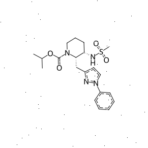 CC(C)OC(=O)N1CCC[C@H](NS(C)(=O)=O)[C@@H]1Cc1ccn(-c2ccccc2)n1